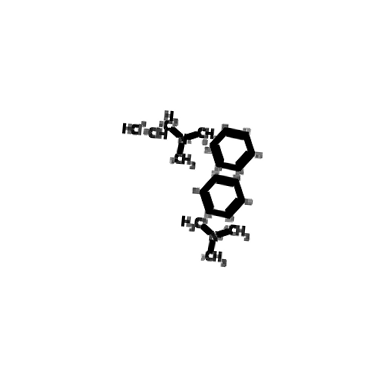 CN(C)C.CN(C)C.Cl.Cl.c1ccccc1.c1ccccc1